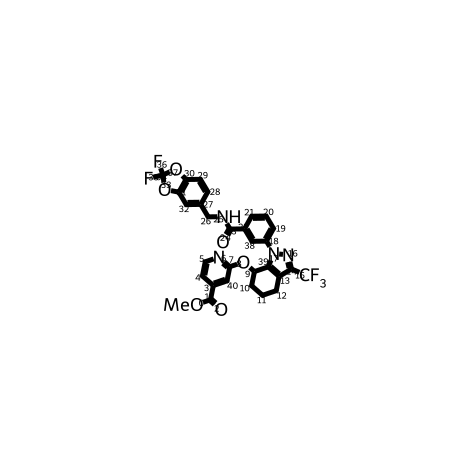 COC(=O)c1ccnc(OC2CCCc3c(C(F)(F)F)nn(-c4cccc(C(=O)NCc5ccc6c(c5)OC(F)(F)O6)c4)c32)c1